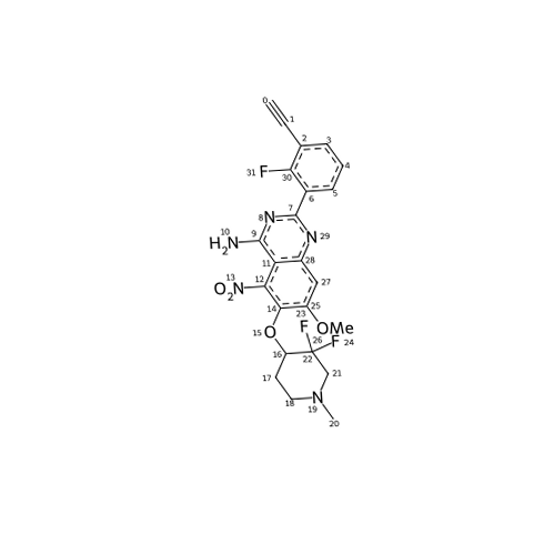 C#Cc1cccc(-c2nc(N)c3c([N+](=O)[O-])c(OC4CCN(C)CC4(F)F)c(OC)cc3n2)c1F